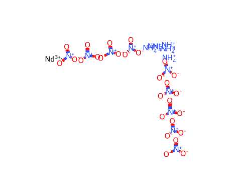 O=[N+]([O-])[O-].O=[N+]([O-])[O-].O=[N+]([O-])[O-].O=[N+]([O-])[O-].O=[N+]([O-])[O-].O=[N+]([O-])[O-].O=[N+]([O-])[O-].O=[N+]([O-])[O-].O=[N+]([O-])[O-].[NH4+].[NH4+].[NH4+].[NH4+].[NH4+].[NH4+].[Nd+3]